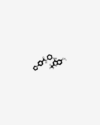 Cc1ccc2nc(C(F)(F)F)cc(N[C@H]3CCC[C@@H](NC(=O)c4ccc(N5CCCC5)cc4)C3)c2c1